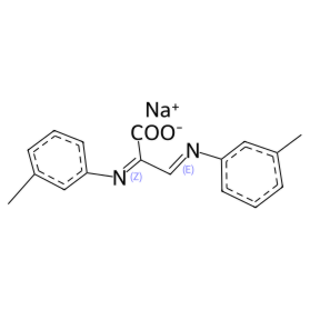 Cc1cccc(/N=C(/C=N/c2cccc(C)c2)C(=O)[O-])c1.[Na+]